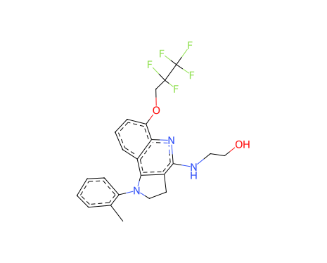 Cc1ccccc1N1CCc2c(NCCO)nc3c(OCC(F)(F)C(F)(F)F)cccc3c21